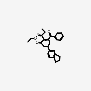 CCO/N=C(/CC)C1=C(C(=O)c2ccccc2)CC(c2ccc3c(c2)CCC3)CC1=O